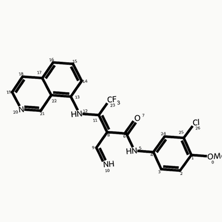 COc1ccc(NC(=O)/C(C=N)=C(/Nc2cccc3ccncc23)C(F)(F)F)cc1Cl